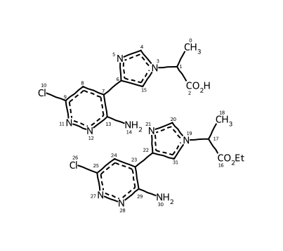 CC(C(=O)O)n1cnc(-c2cc(Cl)nnc2N)c1.CCOC(=O)C(C)n1cnc(-c2cc(Cl)nnc2N)c1